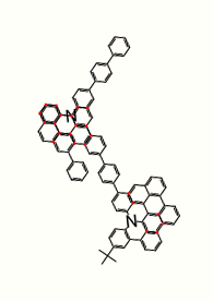 CC(C)(C)c1ccc(N(c2ccc(-c3ccc(-c4ccc(-c5cccc(-c6cccc7cccc(-c8ccccc8N(c8ccc(-c9ccc(-c%10ccccc%10)cc9)cc8)c8ccccc8-c8ccc(-c9ccccc9)cc8)c67)c5)cc4)cc3)cc2)c2ccccc2-c2cccc3cccc(-c4ccccc4)c23)c(-c2ccccc2)c1